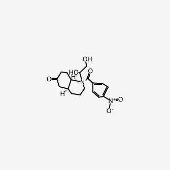 O=C1CC[C@H]2[C@@H](CCC[N+]2(C(=O)c2ccc([N+](=O)[O-])cc2)C(O)CO)C1